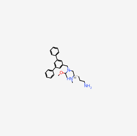 CN[C@@H](CCCN)CN(Cc1cc(-c2ccccc2)cc(-c2ccccc2)c1)C(C)OC